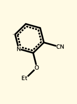 CCOc1n[c]ccc1C#N